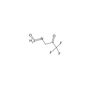 O=[SH2]=NCC(=O)C(F)(F)F